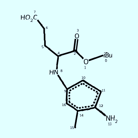 CCC(C)OC(=O)C(CCC(=O)O)Nc1ccc(N)c(C)c1